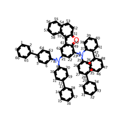 c1ccc(-c2ccc(N(c3ccc(-c4ccccc4)cc3)c3cc(N(c4ccc(-c5ccccc5)cc4)c4ccccc4-c4ccccc4)c4oc5ccc6ccccc6c5c4c3)cc2)cc1